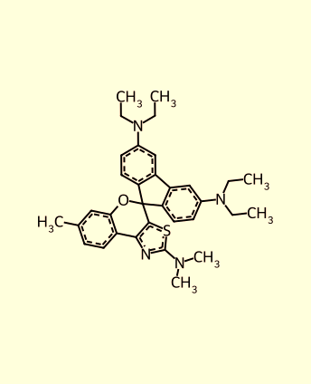 CCN(CC)c1ccc2c(c1)-c1cc(N(CC)CC)ccc1C21Oc2cc(C)ccc2-c2nc(N(C)C)sc21